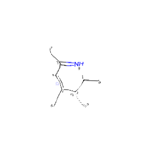 CC[C@H](C)/C(C)=C\C(C)=N